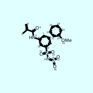 C=C(C)C(=O)Nc1cccc(S(=O)(=O)N=S(=O)=O)c1.COc1ccccc1